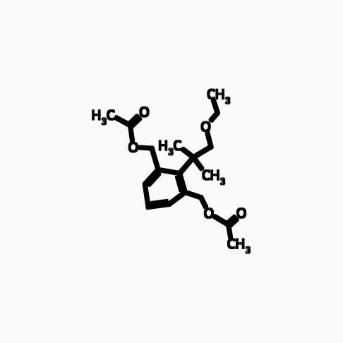 CCOCC(C)(C)c1c(COC(C)=O)cccc1COC(C)=O